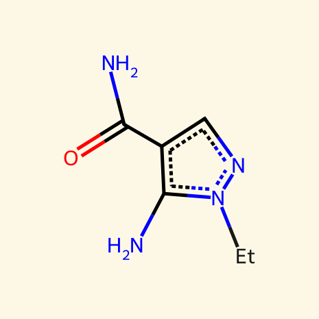 CCn1ncc(C(N)=O)c1N